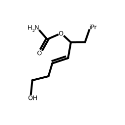 CC(C)CC(C=CCCO)OC(N)=O